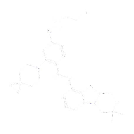 CC1(C)Cn2c(nc3c(NC(=O)c4ccc(NS(=O)(=O)CCO)cc4N4CCC5(CC4)CC5)cccc32)CO1